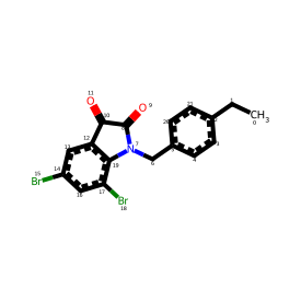 CCc1ccc(CN2C(=O)C(=O)c3cc(Br)cc(Br)c32)cc1